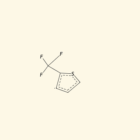 FC(F)(F)c1[c]ccs1